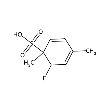 CC1=CC(F)C(C)(S(=O)(=O)O)C=C1